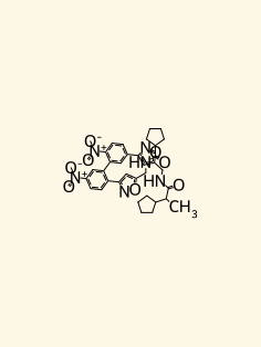 CC(C(=O)NCc1cc(-c2ccc([N+](=O)[O-])c(-c3cc([N+](=O)[O-])ccc3-c3cc(CNC(=O)C4CCCC4)on3)c2)no1)C1CCCC1